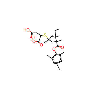 CCC(C)(C)C(C)(CC(C)(C)SC(CC(=O)O)C(=O)O)C(=O)Oc1c(C)cc(C)cc1C